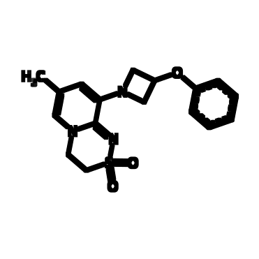 CC1=CN2CCS(=O)(=O)N=C2C(N2CC(Oc3ccccc3)C2)=C1